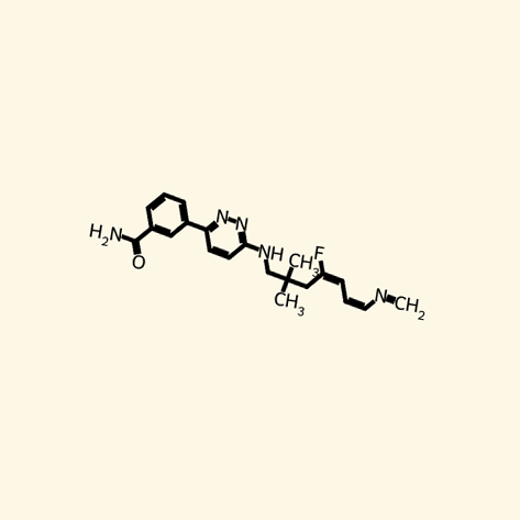 C=N/C=C\C=C(\F)CC(C)(C)CNc1ccc(-c2cccc(C(N)=O)c2)nn1